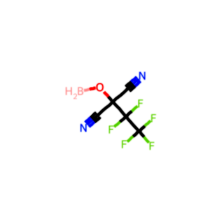 BOC(C#N)(C#N)C(F)(F)C(F)(F)F